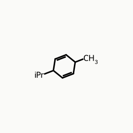 CC1C=CC(C(C)C)C=C1